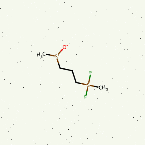 C[S+]([O-])CCCS(C)(F)F